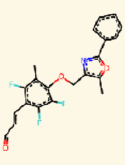 Cc1oc(-c2ccccc2)nc1COc1c(C)c(F)c(C=CC=O)c(F)c1F